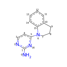 Nc1nccc(N2CCCc3ccccc32)n1